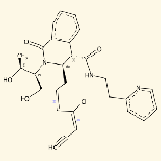 C#C/C=C(Cl)\C=C/C[C@@H]1[C@@H](C(=O)NCCc2ccccn2)c2ccccc2C(=O)N1[C@@H](CO)[C@H](C)O